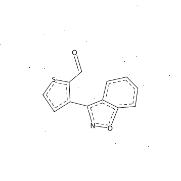 O=Cc1sccc1-c1noc2ccccc12